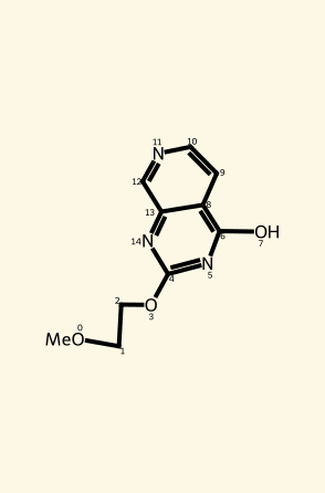 COCCOc1nc(O)c2ccncc2n1